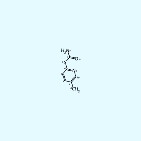 Cc1ccc(SC(N)=O)nc1